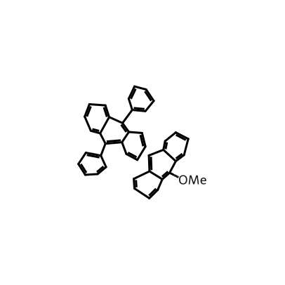 COc1c2ccccc2cc2ccccc12.c1ccc(-c2c3ccccc3c(-c3ccccc3)c3ccccc23)cc1